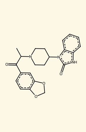 CC(C(=O)c1ccc2c(c1)OCO2)N1CCC(n2c(=O)[nH]c3ccccc32)CC1